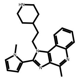 Cc1nc2ccccc2c2c1nc(-c1cccn1C)n2CCC1CCNCC1